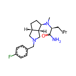 CC(C)C[C@@H](C(N)=O)N(C)[C@@H]1CC[C@H]2CN(Cc3ccc(F)cc3)C[C@H]21